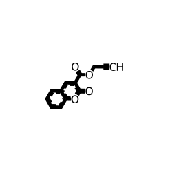 C#CCOC(=O)c1cc2ccccc2oc1=O